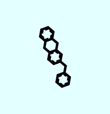 c1ccc(Cc2ccc3c(c2)Cc2ccccc2C3)cc1